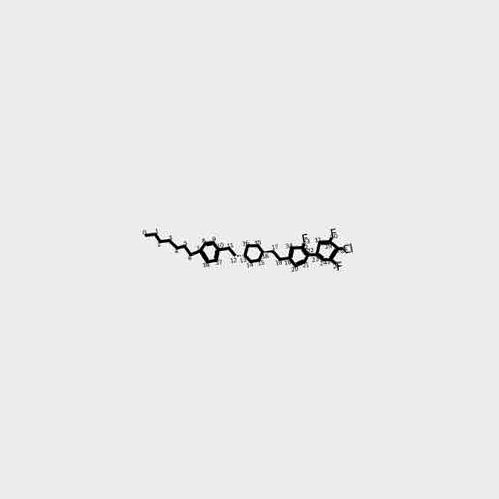 CCCCCCCc1ccc(CC[C@H]2CC[C@H](CCc3ccc(-c4cc(F)c(Cl)c(F)c4)c(F)c3)CC2)cc1